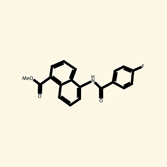 COC(=O)c1cccc2c(NC(=O)c3ccc(F)cc3)cccc12